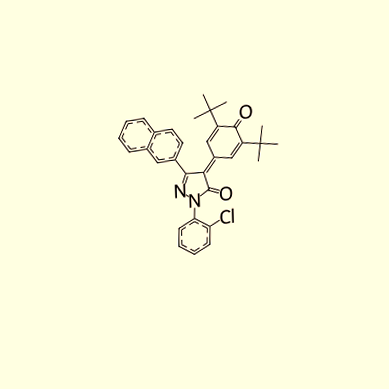 CC(C)(C)C1=CC(=C2C(=O)N(c3ccccc3Cl)N=C2c2ccc3ccccc3c2)C=C(C(C)(C)C)C1=O